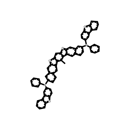 Cc1c2c(cc3oc4cc5cc(N(c6ccccc6)c6ccc7oc8ccccc8c7c6)ccc5cc4c13)oc1cc3cc(N(c4ccccc4)c4ccc5oc6ccccc6c5c4)ccc3cc12